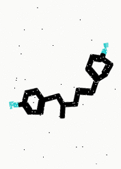 CC(CC=Cc1ccc(F)cc1)Cc1ccc(F)cc1